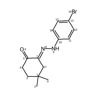 CC1(C)CCC(=O)/C(=N/Nc2ccc(Br)cc2)C1